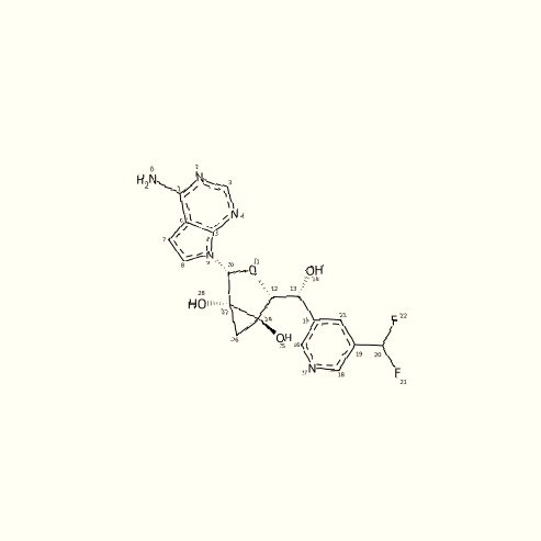 Nc1ncnc2c1ccn2[C@@H]1O[C@H]([C@H](O)c2cncc(C(F)F)c2)[C@]2(O)C[C@@]12O